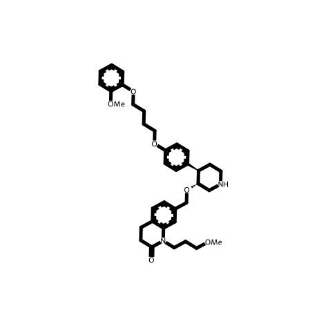 COCCCN1C(=O)CCc2ccc(CO[C@H]3CNCC[C@@H]3c3ccc(OCCCCOc4ccccc4OC)cc3)cc21